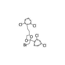 Clc1ccc(C2(CBr)OCC(CCc3c(Cl)cccc3Cl)O2)c(Cl)c1